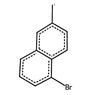 [CH2]c1ccc2c(Br)cccc2c1